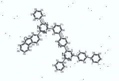 c1ccc(-c2ccc(-c3cc(-c4ccc(-c5cccc(-c6nc(-c7ccccc7)nc(-c7ccc8c(c7)oc7ccccc78)n6)c5)cn4)nc(-c4ccccc4)n3)cc2)cc1